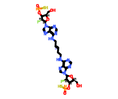 O=[PH](S)OC1[C@@H](F)[C@H](n2cnc3c(NC/C=C/CCNc4ncnc5c4ncn5C4O[C@H](CO)[C@@H](O[PH](=O)S)[C@H]4F)ncnc32)O[C@@H]1CO